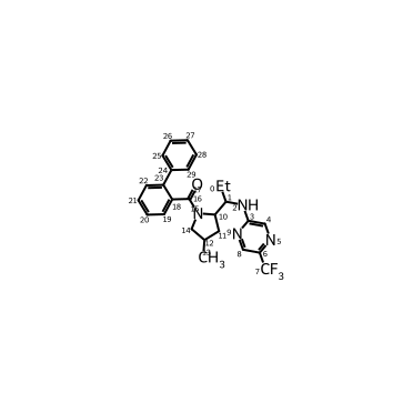 CCC(Nc1cnc(C(F)(F)F)cn1)C1CC(C)CN1C(=O)c1ccccc1-c1ccccc1